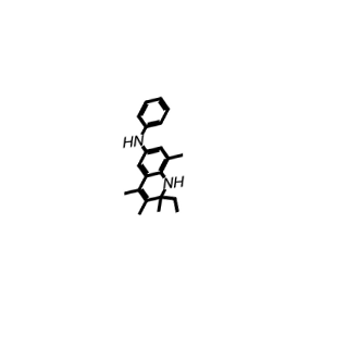 CCC1(C)Nc2c(C)cc(Nc3ccccc3)cc2C(C)=C1C